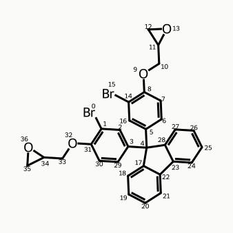 Brc1cc(C2(c3ccc(OCC4CO4)c(Br)c3)c3ccccc3-c3ccccc32)ccc1OCC1CO1